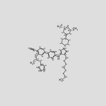 COCCOCCOc1nn([C@H]2CC[C@H](N3C[C@@H](C)O[C@@H](C)C3)CC2)cc1Nc1ncc(-c2ccc(C#N)c(O[C@@H](C)Cn3cnnn3)c2)cn1